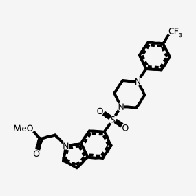 COC(=O)Cn1ccc2ccc(S(=O)(=O)N3CCN(c4ccc(C(F)(F)F)cc4)CC3)cc21